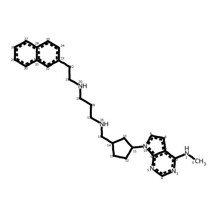 CNc1ncnc2c1ccn2C1CCC(CNCCCNCCc2ccc3ccccc3c2)C1